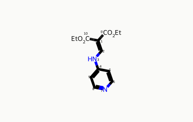 CCOC(=O)C(=CNc1ccncc1)C(=O)OCC